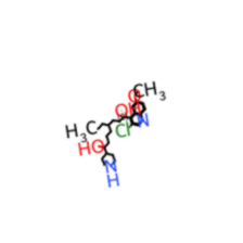 CCCC(CCCC(O)C1CCNCC1)CC[C@H](O)c1c(Cl)cnc2ccc(OC)cc12